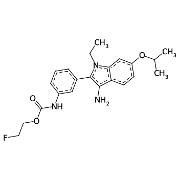 CCn1c(-c2cccc(NC(=O)OCCF)c2)c(N)c2ccc(OC(C)C)cc21